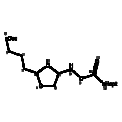 CCCCCCCCCCCCCC1OCC(NOC(=O)CCCCCCC)O1